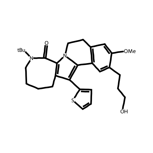 COc1cc2c(cc1CCCO)-c1c(-c3cccs3)c3c(n1CC2)C(=O)N(C(C)(C)C)CCCC3